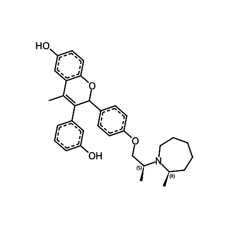 CC1=C(c2cccc(O)c2)C(c2ccc(OC[C@H](C)N3CCCCC[C@H]3C)cc2)Oc2ccc(O)cc21